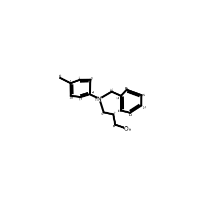 Cc1ccc(N(CCC[O])Cc2ccccc2)cc1